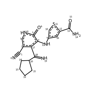 N#Cc1c[nH]c(=O)c(Nc2csc(C(N)=O)c2)c1C(=N)C1CCCC1